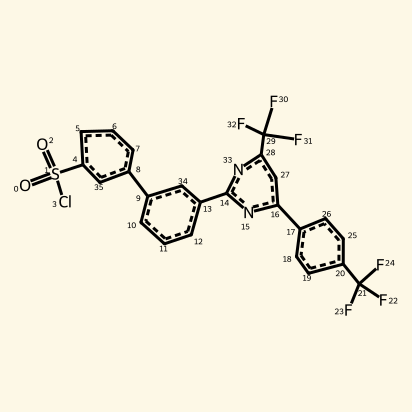 O=S(=O)(Cl)c1cccc(-c2cccc(-c3nc(-c4ccc(C(F)(F)F)cc4)cc(C(F)(F)F)n3)c2)c1